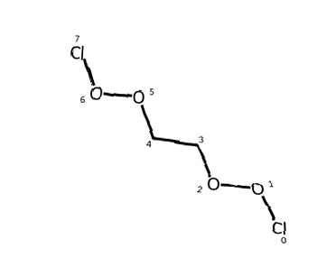 ClOOCCOOCl